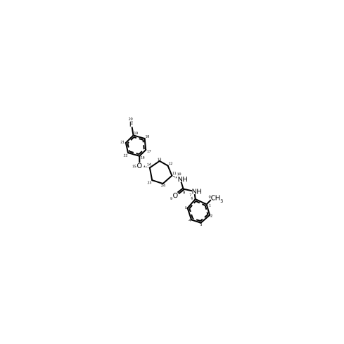 Cc1ccccc1NC(=O)N[C@H]1CC[C@@H](Oc2ccc(F)cc2)CC1